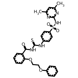 Cc1cc(C)nc(NS(=O)(=O)c2ccc(NC(=S)NC(=O)c3ccccc3OCCOc3ccccc3)cc2)n1